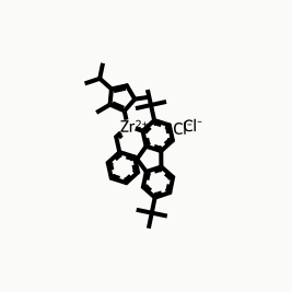 CC1=[C](/[Zr+2](=[CH]/c2ccccc2)[c]2c(C(C)(C)C)ccc3c2Cc2cc(C(C)(C)C)ccc2-3)C(C)C=C1C(C)C.[Cl-].[Cl-]